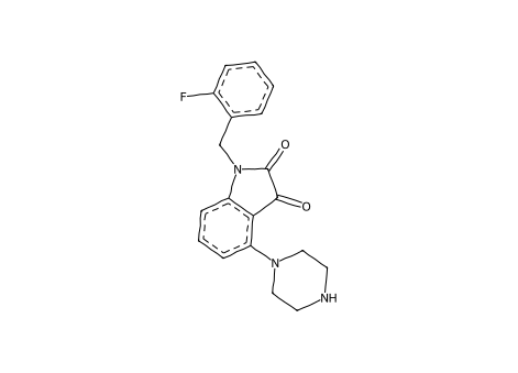 O=C1C(=O)N(Cc2ccccc2F)c2cccc(N3CCNCC3)c21